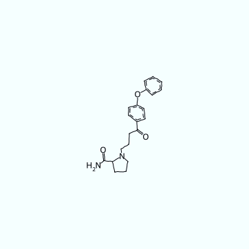 NC(=O)C1CCCN1CCCC(=O)c1ccc(Oc2ccccc2)cc1